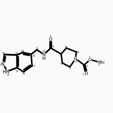 CC(C)(C)OC(=O)N1CCC(C(=O)NCc2ccc3[nH]ncc3c2)CC1